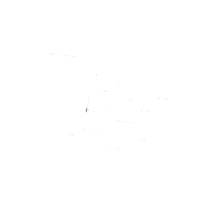 CCCO[Si](OCCC)(OCCC)C(C)(C)C(C(C)C)C(C)C